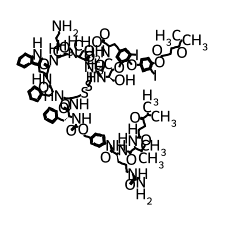 CC(C)C(=O)CCC(=O)N[C@H](C(=O)N[C@@H](CCCNC(N)=O)C(=O)Nc1ccc(COC(=O)N[C@H](Cc2ccccc2)C(=O)N[C@H]2CSSC[C@@H](C(=O)N[C@H](CO)[C@@H](C)Oc3cc(C[C@H](N)C(=O)O)cc(I)c3Oc3ccc(OC(=O)CCC(=O)C(C)C)c(I)c3)NC(=O)C([C@@H](C)O)NC(=O)[C@H](CCCCN)NC(=O)C(Cc3c[nH]c4ccccc34)NC(=O)[C@H](Cc3ccccc3)NC2=O)cc1)C(C)C